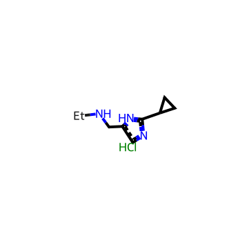 CCNCc1cnc(C2CC2)[nH]1.Cl